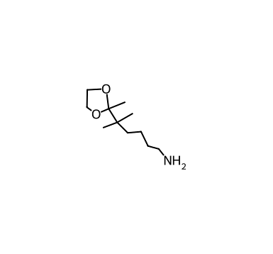 CC(C)(CCCCN)C1(C)OCCO1